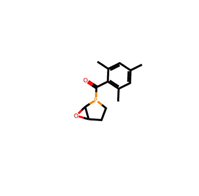 Cc1cc(C)c(C(=O)P2CCC3OC32)c(C)c1